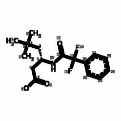 C[N+](C)(C)C[C@@H](CC(=O)[O-])NC(=O)C(F)(F)c1ccccc1